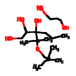 CCCC(O)(C(O)CO)[Si](C)(C)O[Si](C)(C)C.OCCO